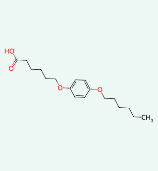 CCCCCCOc1ccc(OCCCCCC(=O)O)cc1